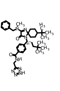 CN(Cc1ccccc1)C1=NC2(CCC(C(C)(C)C)CC2)N([C@H](CCC(C)(C)C)c2ccc(C(=O)NCc3nn[nH]n3)cc2)C1=O